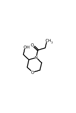 CCC(=O)N1CCOCC1CO